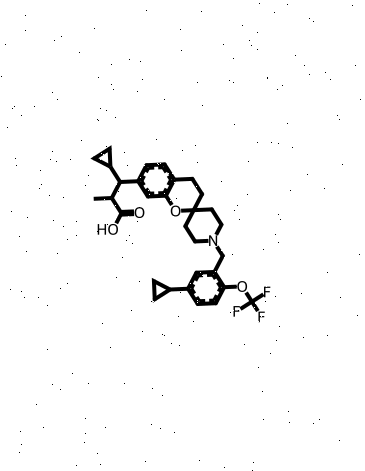 CC(C(=O)O)C(c1ccc2c(c1)OC1(CC2)CCN(Cc2cc(C3CC3)ccc2OC(F)(F)F)CC1)C1CC1